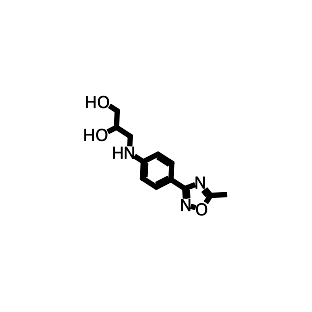 Cc1nc(-c2ccc(NCC(O)CO)cc2)no1